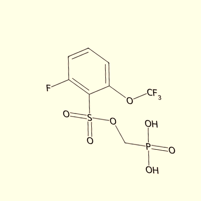 O=P(O)(O)COS(=O)(=O)c1c(F)cccc1OC(F)(F)F